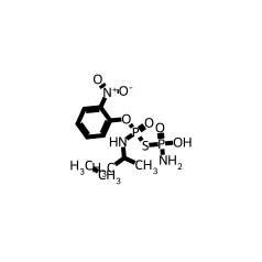 CC.CC(C)NP(=O)(Oc1ccccc1[N+](=O)[O-])SP(N)(=O)O